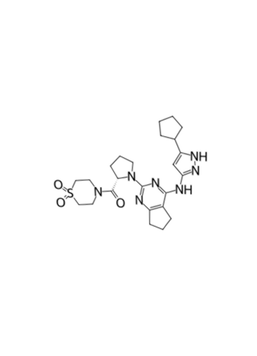 O=C([C@@H]1CCCN1c1nc2c(c(Nc3cc(C4CCCC4)[nH]n3)n1)CCC2)N1CCS(=O)(=O)CC1